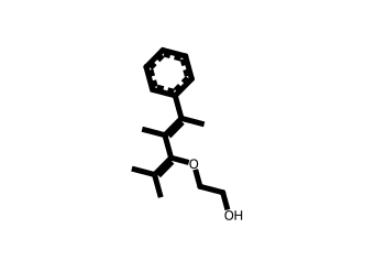 CC(C)=C(OCCO)/C(C)=C(\C)c1ccccc1